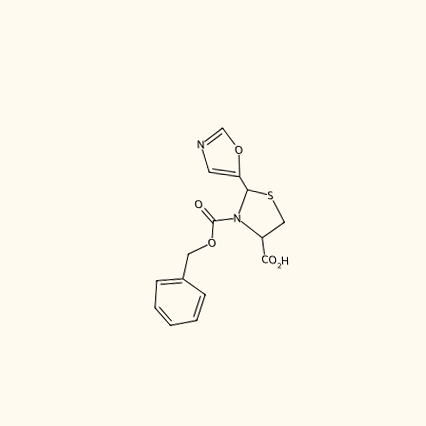 O=C(O)C1CSC(c2cnco2)N1C(=O)OCc1ccccc1